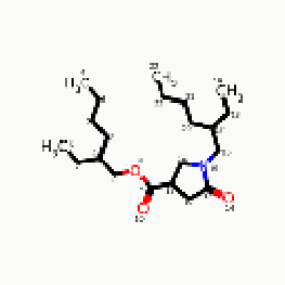 CCCCC(CC)COC(=O)C1CC(=O)N(CC(CC)CCCC)C1